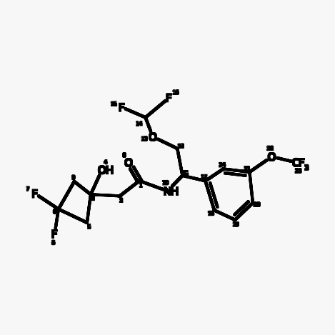 O=C(CC1(O)CC(F)(F)C1)NC(COC(F)F)c1cccc(OC(F)(F)F)c1